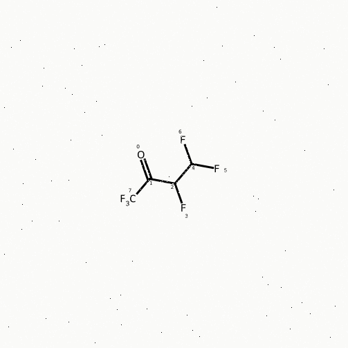 O=C(C(F)C(F)F)C(F)(F)F